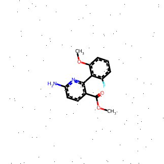 COC(=O)c1ccc(N)nc1-c1c(F)cccc1OC